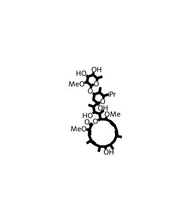 COC1=CC(C)=CC(C)C(O)C(C)CC(C)=CC=CC(OC)C(C(C)C(O)C(C)C2(O)CC(OC3OC(C)C(O)C(O)C3OC)C(C)C(C(C)C)O2)OC1=O